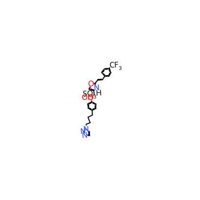 FC(F)(F)c1ccc(C=Cc2nc(COc3ccc(CCCCn4ccnn4)cc3)co2)cc1.O=S(=O)(O)O